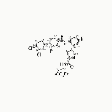 CCOC(=O)CCNC(=O)c1ccc(-c2cc(F)ccc2CNc2ccc(-c3ccc(Cl)c(Cl)c3)c(F)c2)cn1